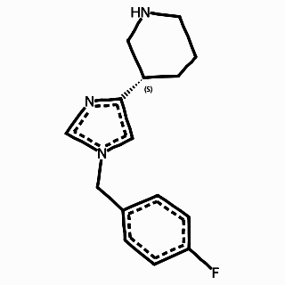 Fc1ccc(Cn2cnc([C@H]3CCCNC3)c2)cc1